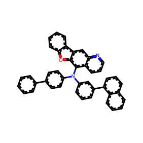 c1ccc(-c2ccc(N(c3cccc(-c4cccc5ccccc45)c3)c3c4cccnc4cc4c3oc3ccccc34)cc2)cc1